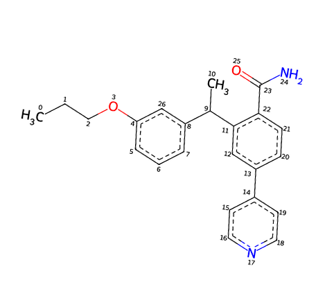 CCCOc1cccc(C(C)c2cc(-c3ccncc3)ccc2C(N)=O)c1